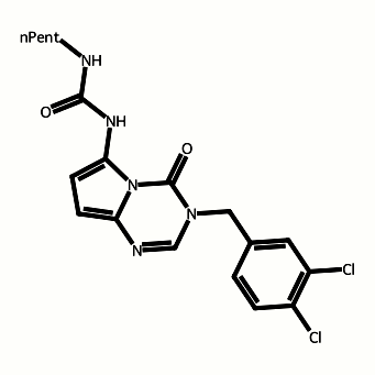 CCCCCNC(=O)Nc1ccc2ncn(Cc3ccc(Cl)c(Cl)c3)c(=O)n12